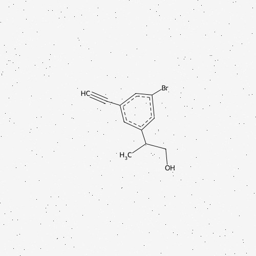 C#Cc1cc(Br)cc([C](C)CO)c1